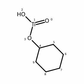 [O]=[Ti]([OH])[O]C1CCCCC1